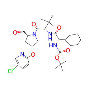 CC(C)(C)OC(=O)N[C@H](C(=O)N[C@H](C(=O)N1C[C@H](Oc2ccc(Cl)cn2)C[C@H]1C=O)C(C)(C)C)C1CCCCC1